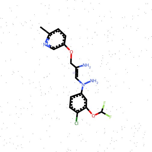 Cc1ccc(OC/C(N)=C/N(N)c2ccc(Cl)c(OC(F)F)c2)cn1